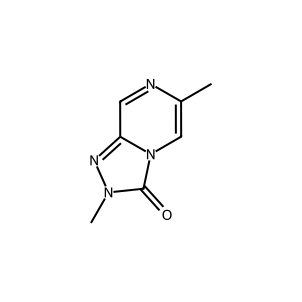 Cc1cn2c(=O)n(C)nc2cn1